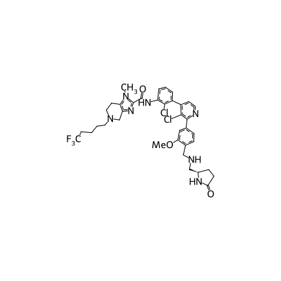 COc1cc(-c2nccc(-c3cccc(NC(=O)c4nc5c(n4C)CCN(CCCCC(F)(F)F)C5)c3Cl)c2Cl)ccc1CNC[C@H]1CCC(=O)N1